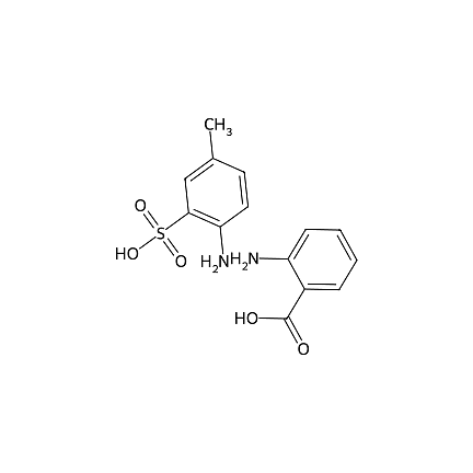 Cc1ccc(N)c(S(=O)(=O)O)c1.Nc1ccccc1C(=O)O